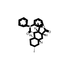 C[C@@H]1CC[C@@H]2[C@@H](C1)C[C@H]1C(=O)O[C@H](C)[C@H]1[C@H]2C(=O)N(c1ccccc1)c1ccccc1